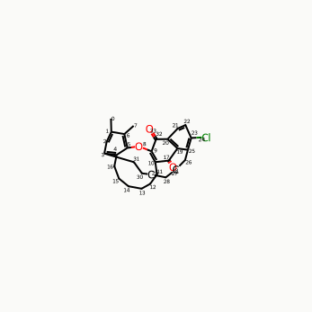 Cc1cc2c3c(c1C)OC1=C(CCCCCC3)C(=O)c3c(ccc(Cl)c3CCCCCC2)C1=O